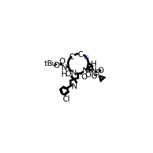 CC(C)(C)OC(=O)NC1CCCCC/C=C\C2CC2(C(=O)NS(=O)(=O)C2CC2)NC(=O)C2CC3(CN=C(c4cccc(Cl)c4)C3)CN2C1=O